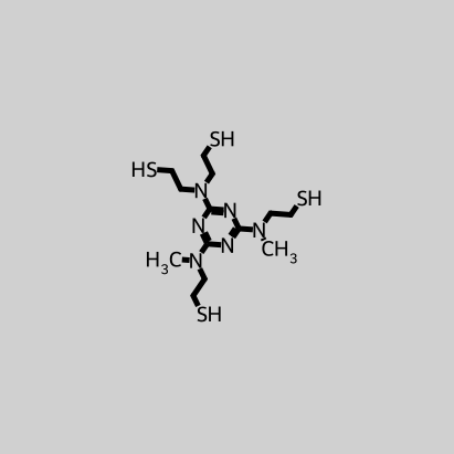 CN(CCS)c1nc(N(C)CCS)nc(N(CCS)CCS)n1